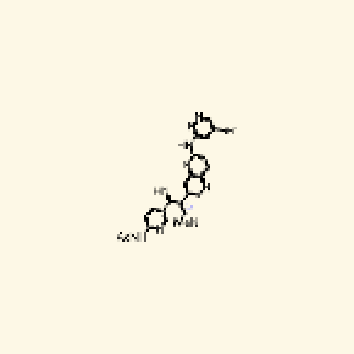 CN/C=C(\C(=N)c1ccc(NC(C)=O)nc1)c1cnc2ccc(Nc3cc(C(C)C)cnn3)nc2c1